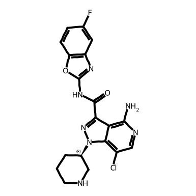 Nc1ncc(Cl)c2c1c(C(=O)Nc1nc3cc(F)ccc3o1)nn2[C@@H]1CCCNC1